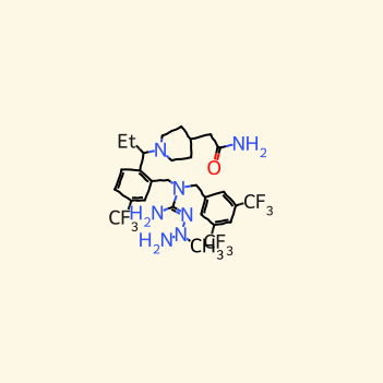 CCC(c1ccc(C(F)(F)F)cc1CN(Cc1cc(C(F)(F)F)cc(C(F)(F)F)c1)/C(N)=N/N(C)N)N1CCC(CC(N)=O)CC1